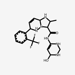 CC1NC2C=CC(c3ccccc3C(F)(F)F)NN2C1C(=O)NC1=CC(O)NCN1